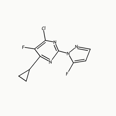 Fc1c(Cl)nc(-n2nccc2F)nc1C1CC1